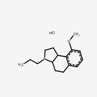 CCCN1CCC2c3c(cccc3OC)CCC21.Cl